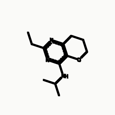 CCc1nc2c(c(NC(C)C)n1)OCCC2